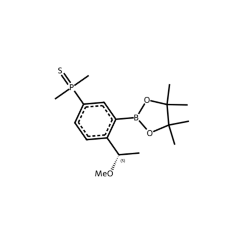 CO[C@@H](C)c1ccc(P(C)(C)=S)cc1B1OC(C)(C)C(C)(C)O1